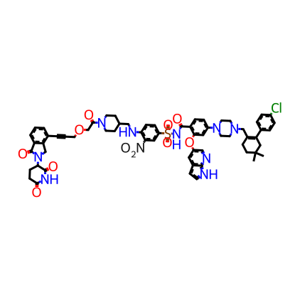 CC1(C)CCC(CN2CCN(c3ccc(C(=O)NS(=O)(=O)c4ccc(NCC5CCN(C(=O)COCC#Cc6cccc7c6CN(C6CCC(=O)NC6=O)C7=O)CC5)c([N+](=O)[O-])c4)c(Oc4cnc5[nH]ccc5c4)c3)CC2)=C(c2ccc(Cl)cc2)C1